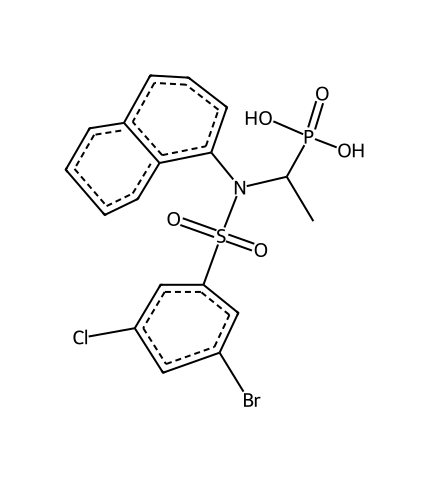 CC(N(c1cccc2ccccc12)S(=O)(=O)c1cc(Cl)cc(Br)c1)P(=O)(O)O